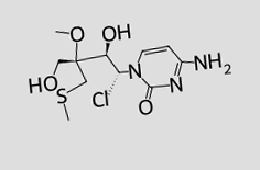 CO[C@@](CO)(CSC)[C@@H](O)[C@@H](Cl)n1ccc(N)nc1=O